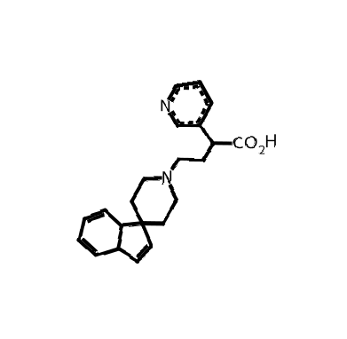 O=C(O)C(CCN1CCC2(C=CC3C=CC=CC32)CC1)c1cccnc1